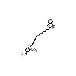 CC(NC(=O)CCCCCCCCC#CC#CCOc1ccc([N+](=O)[O-])cc1[N+](=O)[O-])c1ccccc1